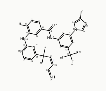 Cc1cn(-c2cc(NC(=O)c3ccc(C)c(Nc4nccc(C(C)(C)/C=C\C=N)n4)c3)cc(C(F)(F)F)c2)cn1